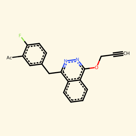 C#CCOc1nnc(Cc2ccc(F)c(C(C)=O)c2)c2ccccc12